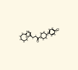 O=C(CCc1cnc2n1CCCCC2)N1CCC(c2ccc(Cl)cc2)CC1